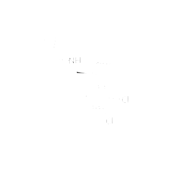 C=C(C(C)C)[C@H](CNCC1CC1)c1ccc(Cl)c(Cl)c1